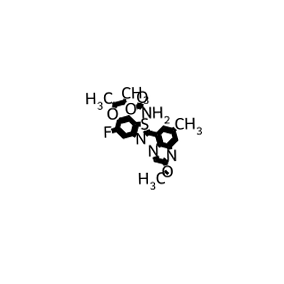 COc1cnc2c(-c3nc4cc(F)c(O[C@@H](C)[C@@H](C)OC(N)=O)cc4s3)cc(C)cc2n1